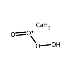 O=[O+]OO.[CaH2]